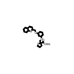 COC(=O)C1(COc2cccc(OCc3ccc4ccccc4n3)c2)CC=CS1